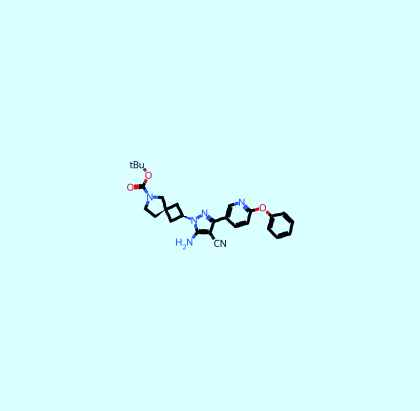 CC(C)(C)OC(=O)N1CC[C@]2(C1)C[C@H](n1nc(-c3ccc(Oc4ccccc4)nc3)c(C#N)c1N)C2